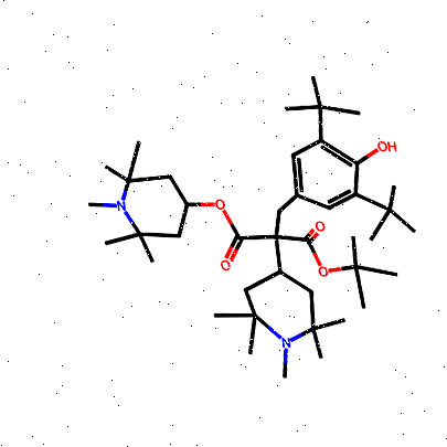 CN1C(C)(C)CC(OC(=O)C(Cc2cc(C(C)(C)C)c(O)c(C(C)(C)C)c2)(C(=O)OC(C)(C)C)C2CC(C)(C)N(C)C(C)(C)C2)CC1(C)C